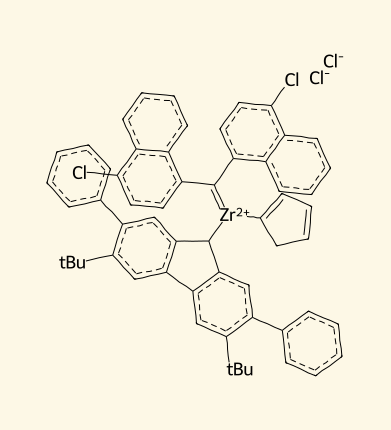 CC(C)(C)c1cc2c(cc1-c1ccccc1)[CH]([Zr+2]([C]1=CC=CC1)=[C](c1ccc(Cl)c3ccccc13)c1ccc(Cl)c3ccccc13)c1cc(-c3ccccc3)c(C(C)(C)C)cc1-2.[Cl-].[Cl-]